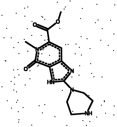 COC(=O)c1cc2nc(N3CCNCC3)[nH]c2c(=O)n1C